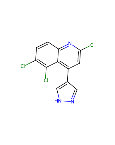 Clc1cc(-c2cn[nH]c2)c2c(Cl)c(Cl)ccc2n1